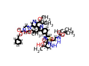 C=CC1CCNN(C(=O)CCNC(=O)OC(C)(C)C)[C@@]1(C(=O)O)c1nc(-c2ccc3c(c2)c(CC(C)(C)CO)c(-c2cc(N4CCN(C(=O)OCc5ccccc5)CC4)cnc2[C@H](C)OC)n3CC)cs1